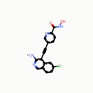 Nc1ncc2ccc(Cl)cc2c1C#Cc1ccc(C(=O)NO)nc1